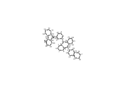 c1cc(-c2c3ccccc3c(-c3ccc4ccccc4c3)c3ccccc23)cc(-n2c3ccccc3c3ncccc32)c1